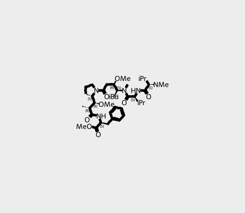 CC[C@H](C)[C@@H]([C@@H](CC(=O)N1CCC[C@H]1[C@H](OC)[C@@H](C)C(=O)N[C@@H](Cc1ccccc1)C(=O)OC)OC)N(C)C(=O)[C@@H](NC(=O)[C@@H](NC)C(C)C)C(C)C